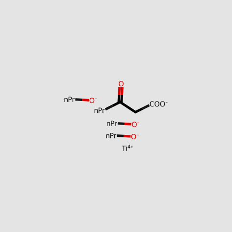 CCCC(=O)CC(=O)[O-].CCC[O-].CCC[O-].CCC[O-].[Ti+4]